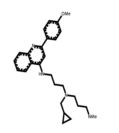 CNCCCN(CCCNc1cc(-c2ccc(OC)cc2)nc2ccccc12)CC1CC1